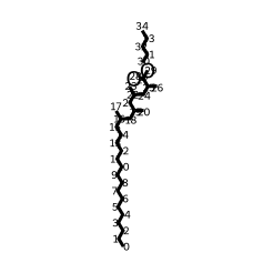 CCCCCCCCCCCCCCCCC(C)CC(C)CC(C)CC(C)C(=O)OCCCCC